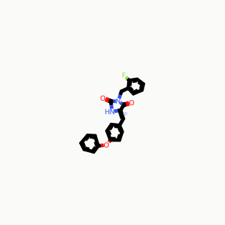 O=C1N/C(=C\c2ccc(Oc3ccccc3)cc2)C(=O)N1Cc1ccccc1F